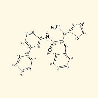 CN(c1cncs1)[C@@H](Cc1ccccc1)C(=O)Nc1cccc(-c2ccncc2)c1